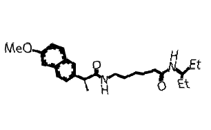 CCC(CC)NC(=O)CCCCCNC(=O)[C@@H](C)c1ccc2cc(OC)ccc2c1